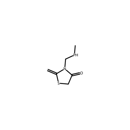 C=C1SCC(=O)N1CPC